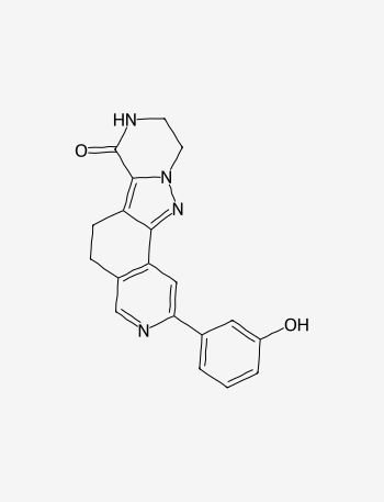 O=C1NCCn2nc3c(c21)CCc1cnc(-c2cccc(O)c2)cc1-3